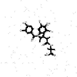 Cc1c(C(C)C(=O)NC(C)(C)C(=O)O)c2c(F)c(O)c(F)cc2n1C(=O)c1ccc(Cl)c(Cl)c1